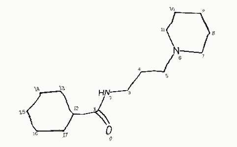 O=C(NCCCN1CCCCC1)C1CCCCC1